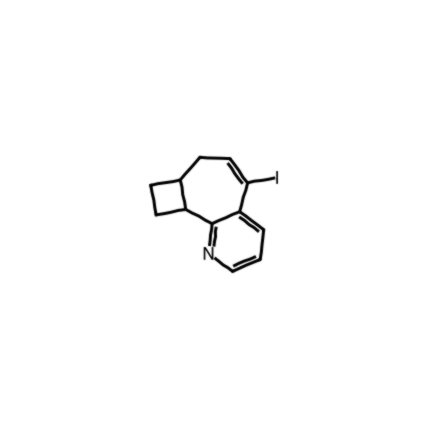 IC1=CCC2CCC2c2ncccc21